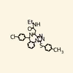 CCNC(=O)C[C@@H]1N=C(c2ccc(Cl)cc2)c2ccccc2-n2c(Sc3ccc(C)cc3)nnc21